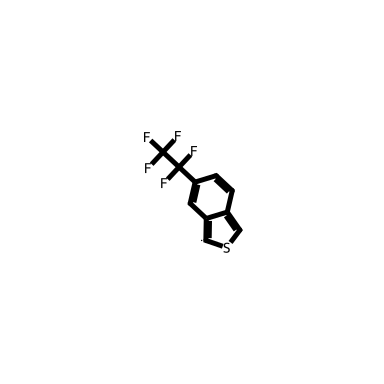 FC(F)(F)C(F)(F)c1ccc2cs[c]c2c1